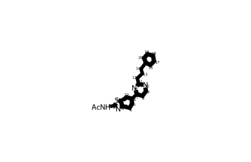 CC(=O)Nc1nc2ccc(-c3ccnc(CCCc4ccccc4)n3)cc2s1